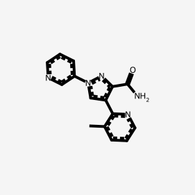 Cc1cccnc1-c1cn(-c2cccnc2)nc1C(N)=O